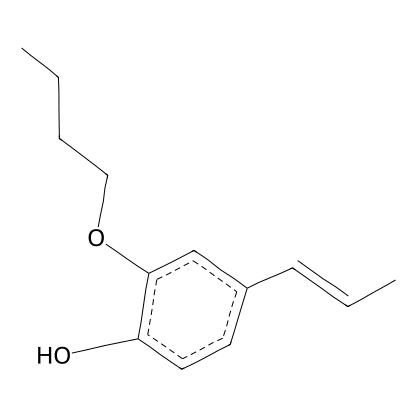 CC=Cc1ccc(O)c(OCCCC)c1